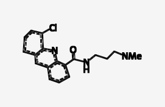 CNCCCNC(=O)c1cccc2cc3cccc(Cl)c3nc12